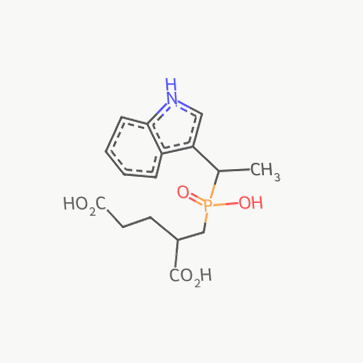 CC(c1c[nH]c2ccccc12)P(=O)(O)CC(CCC(=O)O)C(=O)O